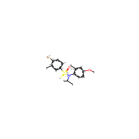 COc1ccc(N(C(C)C)S(=O)(=S)c2ccc(Br)c(C)c2)c(C)c1